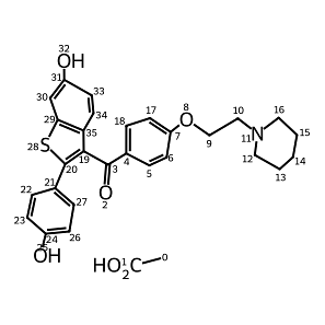 CC(=O)O.O=C(c1ccc(OCCN2CCCCC2)cc1)c1c(-c2ccc(O)cc2)sc2cc(O)ccc12